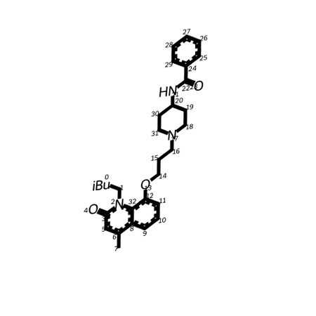 CCC(C)Cn1c(=O)cc(C)c2cccc(OCCCN3CCC(NC(=O)c4ccccc4)CC3)c21